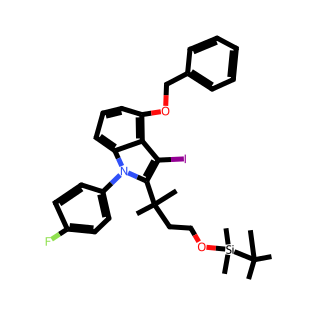 CC(C)(CCO[Si](C)(C)C(C)(C)C)c1c(I)c2c(OCc3ccccc3)cccc2n1-c1ccc(F)cc1